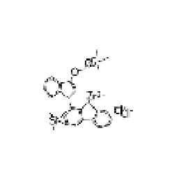 C[Si](C)(C)OCOC1=CC(c2c3c(cc4c2[Si]4(C)C)-c2ccccc2[CH]3[Zr+2])c2ccccc21.[Cl-].[Cl-]